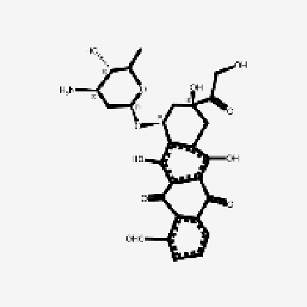 CC1O[C@@H](O[C@H]2C[C@](O)(C(=O)CO)Cc3c(O)c4c(c(O)c32)C(=O)c2c(C=O)cccc2C4=O)C[C@@H](N)[C@@H]1O